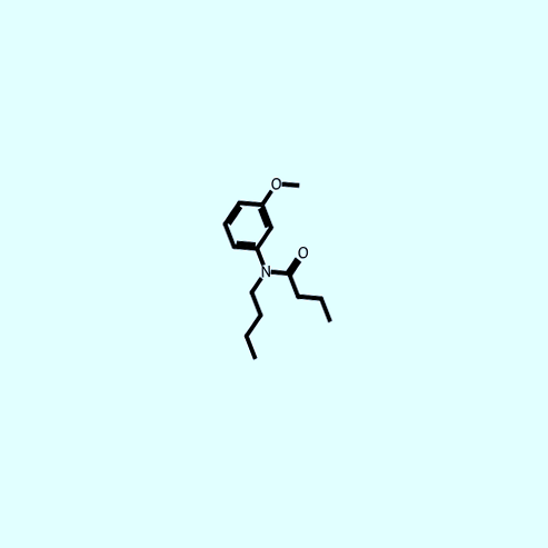 CCCCN(C(=O)CCC)c1cccc(OC)c1